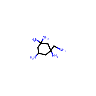 NCC1(N)CC(N)CC(N)(N)C1